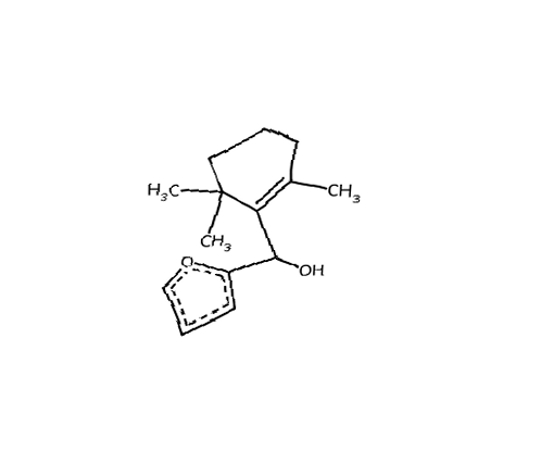 CC1=C(C(O)c2ccco2)C(C)(C)CCC1